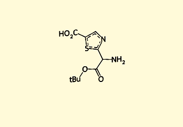 CC(C)(C)OC(=O)C(N)c1ncc(C(=O)O)s1